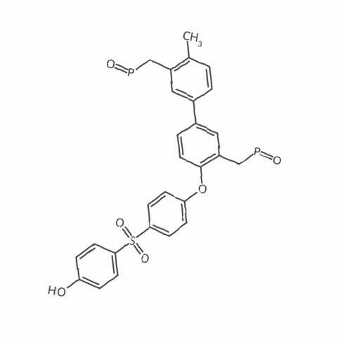 Cc1ccc(-c2ccc(Oc3ccc(S(=O)(=O)c4ccc(O)cc4)cc3)c(CP=O)c2)cc1CP=O